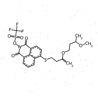 C=C(CCSc1ccc2c3c(cccc13)C(=O)N(OS(=O)(=O)C(F)(F)F)C2=O)OCCC(C)OC